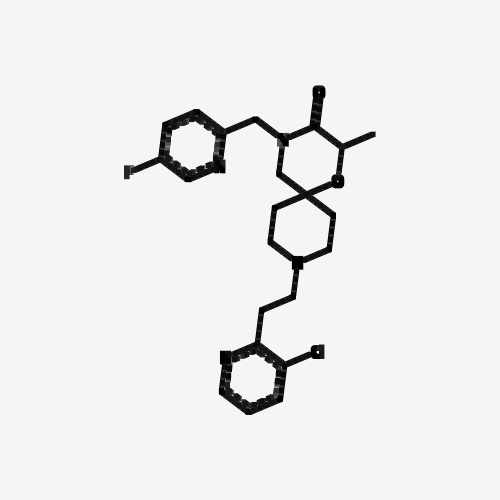 CC1OC2(CCN(CCc3ncccc3Cl)CC2)CN(Cc2ccc(F)cn2)C1=O